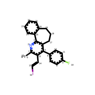 CC(C)c1nc2c(c(-c3ccc(F)cc3)c1/C=C/I)CCCc1ccccc1-2